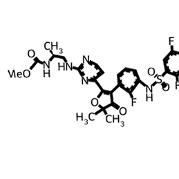 COC(=O)N[C@@H](C)CNc1nccc(C2=C(c3cccc(NS(=O)(=O)c4cc(F)ccc4F)c3F)C(=O)C(C)(C)O2)n1